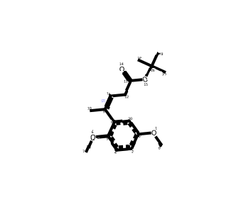 COc1ccc(OC)c(/C(C)=C\CC(=O)OC(C)(C)C)c1